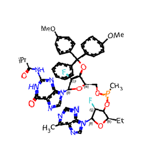 CC[C@H]1O[C@@H](n2cnc3c(C)ncnc32)[C@@H](F)C1OP(C)OC[C@H]1O[C@@H](n2cnc3c(=O)[nH]c(NC(=O)C(C)C)nc32)[C@@H](F)C1OC(c1ccccc1)(c1ccc(OC)cc1)c1ccc(OC)cc1